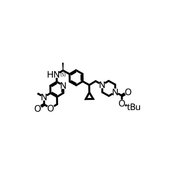 C[C@H](Nc1cc2c(cn1)COC(=O)N2C)c1ccc(C(CN2CCN(C(=O)OC(C)(C)C)CC2)C2CC2)cc1